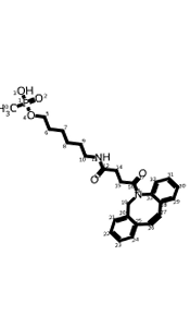 CP(=O)(O)OCCCCCCNC(=O)CCC(=O)N1Cc2ccccc2C#Cc2ccccc21